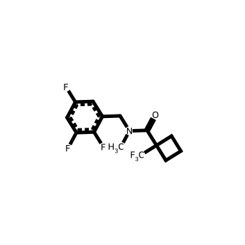 CN(Cc1cc(F)cc(F)c1F)C(=O)C1(C(F)(F)F)CCC1